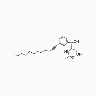 CCCCCCCCCCC#Cc1cccc(C(O)C(CO)NC(C)=O)c1